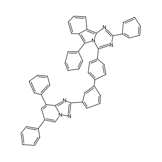 c1ccc(-c2cc(-c3ccccc3)c3nc(-c4cccc(-c5ccc(-c6nc(-c7ccccc7)nc7c8ccccc8c(-c8ccccc8)n67)cc5)c4)nn3c2)cc1